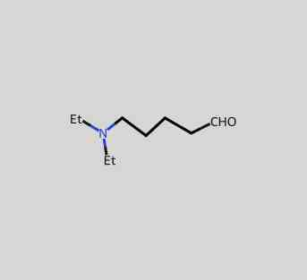 CCN(CC)CCCCC=O